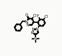 C[Si](C)(C)c1cn(-c2ccc(Cl)c(F)c2-c2cnn(Cc3ccccc3)c(=O)c2Cl)nn1